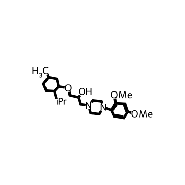 COc1ccc(N2CCN(CC(O)COC3CC(C)CCC3C(C)C)CC2)c(OC)c1